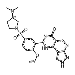 CCCOc1ccc(S(=O)(=O)N2CC[C@@H](N(C)C)C2)cc1-c1nc(=O)c2cnc3n[nH]cc3c2[nH]1